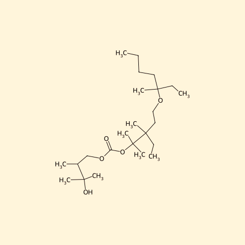 CCCCC(C)(CC)OCCC(C)(CC)C(C)(C)OC(=O)OCC(C)C(C)(C)O